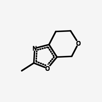 Cc1nc2c(o1)COCC2